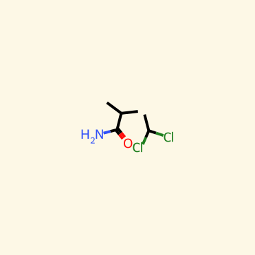 CC(C)C(N)=O.CC(Cl)Cl